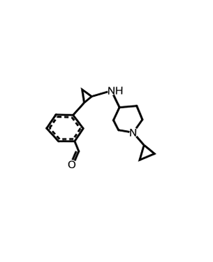 O=Cc1cccc(C2CC2NC2CCN(C3CC3)CC2)c1